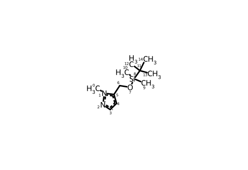 Cn1n[c]cc1CO[Si](C)(C)C(C)(C)C